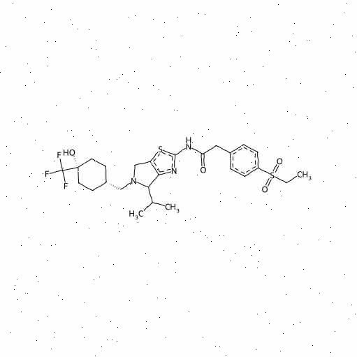 CCS(=O)(=O)c1ccc(CC(=O)Nc2nc3c(s2)CN(C[C@H]2CC[C@](O)(C(F)(F)F)CC2)C3C(C)C)cc1